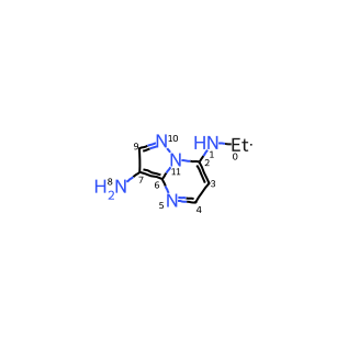 [CH2][CH]Nc1ccnc2c(N)cnn12